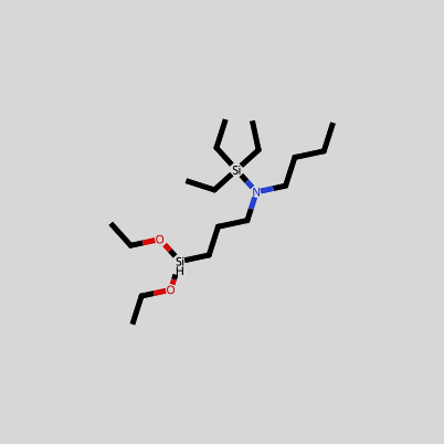 CCCCN(CCC[SiH](OCC)OCC)[Si](CC)(CC)CC